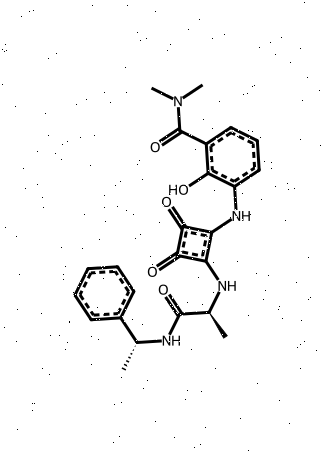 C[C@H](Nc1c(Nc2cccc(C(=O)N(C)C)c2O)c(=O)c1=O)C(=O)N[C@H](C)c1ccccc1